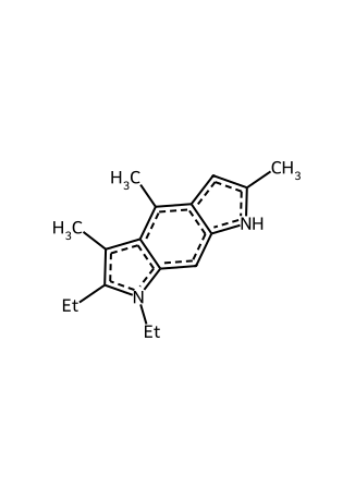 CCc1c(C)c2c(C)c3cc(C)[nH]c3cc2n1CC